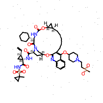 C=C[C@@H]1C[C@]1(NC(=O)[C@@H]1C[C@@H]2CN1C(=O)[C@H](C1CCCCC1)NC(=O)O[C@@H]1C[C@H]1CCCCCc1c(nc3ccccc3c1OC1CCN(CCS(C)(=O)=O)CC1)O2)C(=O)NS(=O)(=O)C1(C)CC1